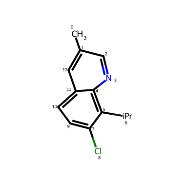 Cc1cnc2c(C(C)C)c(Cl)ccc2c1